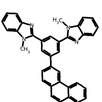 Cn1c(-c2cc(-c3ccc4ccc5ccccc5c4c3)cc(-c3nc4ccccc4n3C)c2)nc2ccccc21